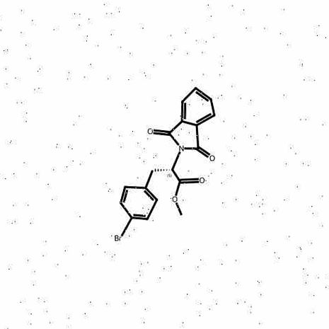 COC(=O)[C@H](Cc1ccc(Br)cc1)N1C(=O)c2ccccc2C1=O